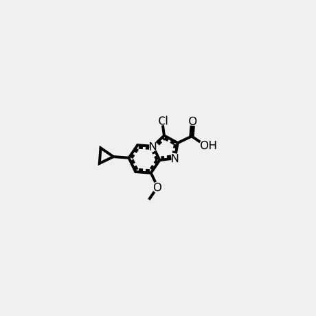 COc1cc(C2CC2)cn2c(Cl)c(C(=O)O)nc12